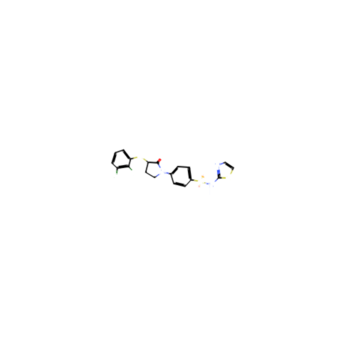 O=C1C(Sc2cccc(Cl)c2Cl)CCN1c1ccc(S(=O)(=O)Nc2nccs2)cc1